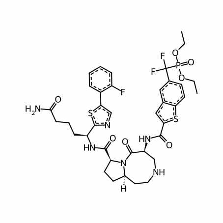 CCOP(=O)(OCC)C(F)(F)c1ccc2sc(C(=O)N[C@H]3CNCC[C@H]4CC[C@@H](C(=O)N[C@@H](CCCC(N)=O)c5ncc(-c6ccccc6F)s5)N4C3=O)cc2c1